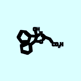 O=C(O)CC1=NC(O)(c2ccccc2)C(c2ccccc2)O1